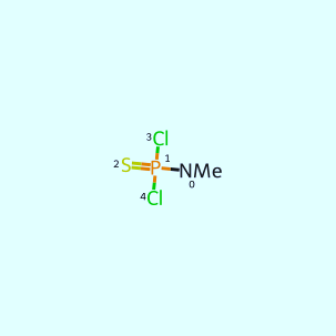 CNP(=S)(Cl)Cl